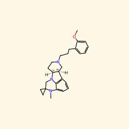 COc1ccccc1CCCN1CC[C@H]2[C@@H](C1)c1cccc3c1N2CC1(CC1)N3C